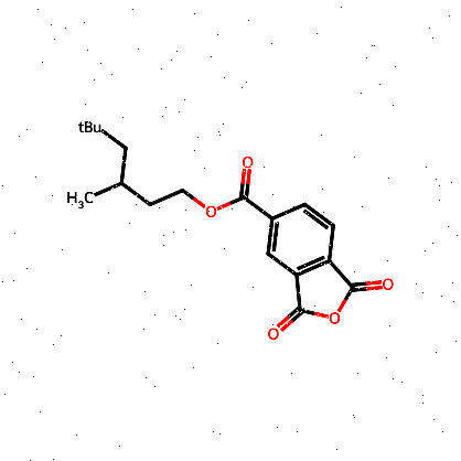 CC(CCOC(=O)c1ccc2c(c1)C(=O)OC2=O)CC(C)(C)C